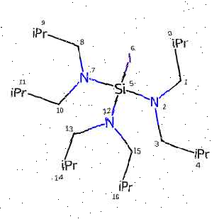 CC(C)CN(CC(C)C)[Si](I)(N(CC(C)C)CC(C)C)N(CC(C)C)CC(C)C